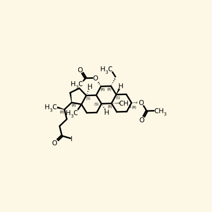 CC[C@H]1[C@@H](OC(C)=O)C2[C@@H]3CC[C@H]([C@H](C)CCC(=O)I)C3(C)CC[C@@H]2[C@]2(C)CC[C@@H](OC(C)=O)C[C@@H]12